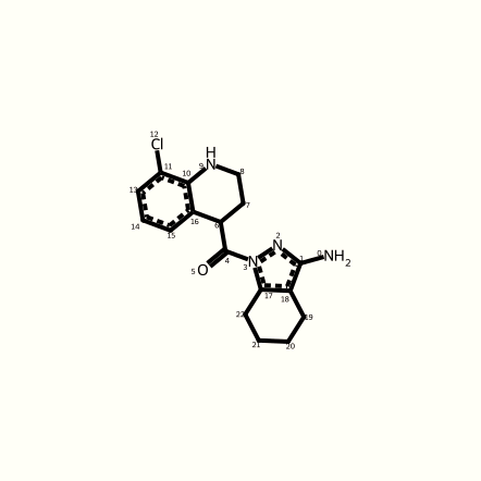 Nc1nn(C(=O)C2CCNc3c(Cl)cccc32)c2c1CCCC2